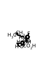 CN(C)CCCCNc1cc(F)ccc1S(=O)(=O)Nc1ccc2c(c1C(=O)O)OC[C@@H]1C[C@H]21